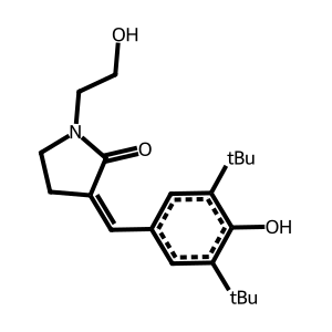 CC(C)(C)c1cc(C=C2CCN(CCO)C2=O)cc(C(C)(C)C)c1O